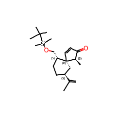 C=C(C)[C@H]1CC[C@H](CO[Si](C)(C)C(C)(C)C)[C@]2(C=CC(=O)[C@H]2C)C1